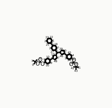 CC(C)(C)OC(=O)Oc1ccc(C2=CC(C(c3ccc(-c4ccccc4)cc3)C3C=CC(c4ccc(OC(=O)OC(C)(C)C)cc4)=C3)C=C2)cc1